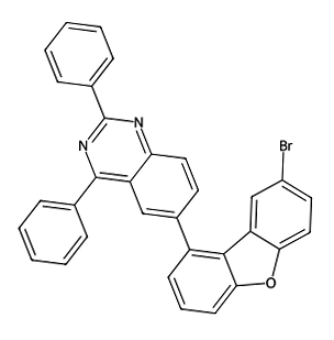 Brc1ccc2oc3cccc(-c4ccc5nc(-c6ccccc6)nc(-c6ccccc6)c5c4)c3c2c1